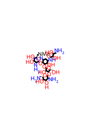 CNC[C@H]1O[C@H](O[C@H]2[C@H](O[C@@H]3O[C@H](CO)[C@@H](O[C@H]4O[C@@H](CN)[C@@H](O)[C@H](O)[C@H]4N)[C@H]3O)[C@@H](O)[C@H](NC(=O)[C@@H](O)[C@@H](O)CN)C[C@@H]2N)[C@H](N)[C@@H](O)[C@@H]1O